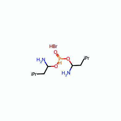 Br.CC(C)CC(N)O[PH](=O)OC(N)CC(C)C